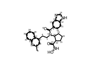 Cc1cc(CCN(C(=O)c2ccc3[nH]cnc3c2)C2CCCC2C(=O)NO)c2ccccc2n1